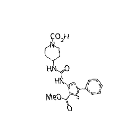 COC(=O)c1sc(-c2ccccc2)cc1NC(=O)NC1CCN(C(=O)O)CC1